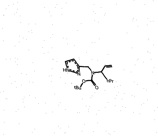 C=CC(CCC)N(Cc1cc[nH]n1)C(=O)OC(C)(C)C